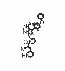 N#C/C(=C\C1CCCNC1)C(=O)N1CCC[C@@H]1Cn1nc(-c2ccc(Oc3ccccc3)cc2F)c2c([AsH2])ncnc21